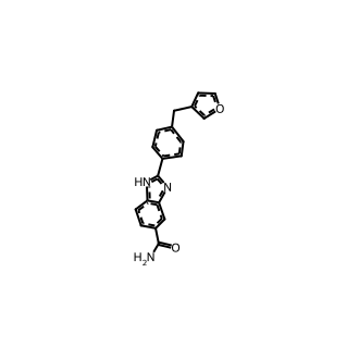 NC(=O)c1ccc2[nH]c(-c3ccc(Cc4ccoc4)cc3)nc2c1